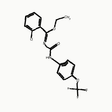 CCOC(=NC(=O)Nc1ccc(OC(F)(F)F)cc1)c1ccccc1Cl